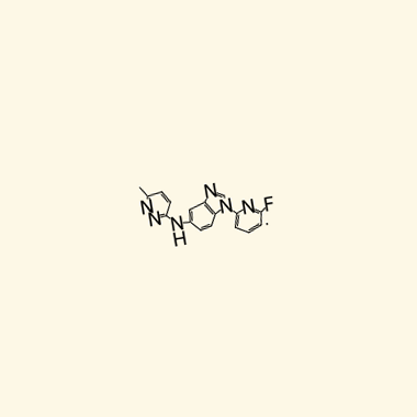 Cc1ccc(Nc2ccc3c(c2)ncn3-c2cc[c]c(F)n2)nn1